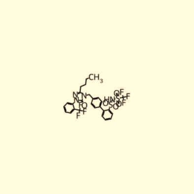 CCCCc1nn(-c2ccccc2C(F)(F)F)c(=O)n1Cc1ccc(-c2ccccc2S(=O)(=O)NS(=O)(=O)C(F)(F)F)cc1